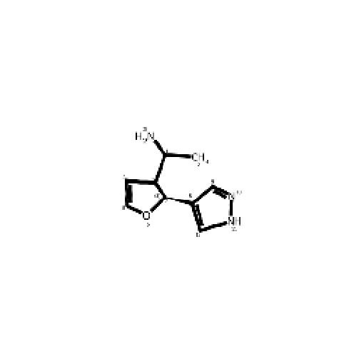 CC(N)C1C=CO[C@@H]1c1cn[nH]c1